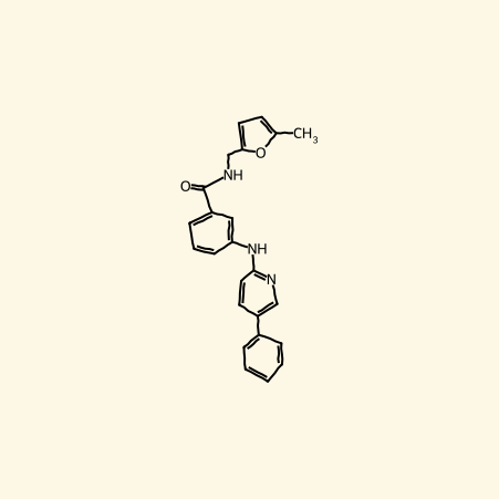 Cc1ccc(CNC(=O)c2cccc(Nc3ccc(-c4ccccc4)cn3)c2)o1